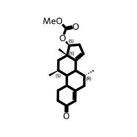 COC(=O)O[C@H]1CC=C2C3C(C4CCC(=O)C=C4C[C@H]3C)[C@@H](C)C[C@@]21C